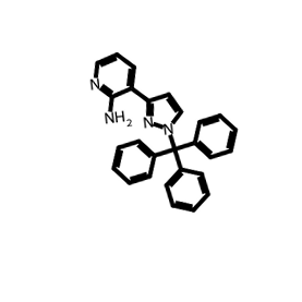 Nc1ncccc1-c1ccn(C(c2ccccc2)(c2ccccc2)c2ccccc2)n1